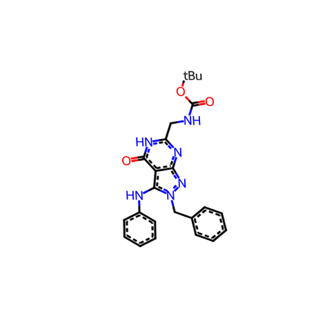 CC(C)(C)OC(=O)NCc1nc2nn(Cc3ccccc3)c(Nc3ccccc3)c2c(=O)[nH]1